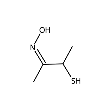 CC(=NO)C(C)S